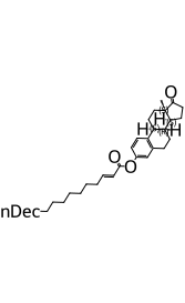 CCCCCCCCCCCCCCCCCC=CC(=O)Oc1ccc2c(c1)CC[C@@H]1[C@@H]2CC[C@]2(C)C(=O)CC[C@@H]12